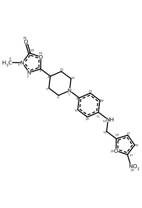 Cn1nc(C2CCN(c3ccc(NCc4ccc([N+](=O)[O-])o4)cc3)CC2)oc1=O